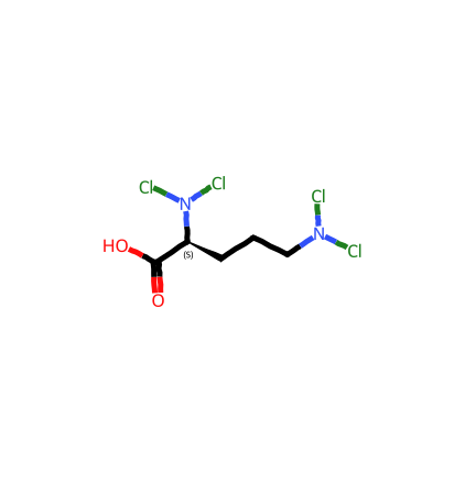 O=C(O)[C@H](CCCN(Cl)Cl)N(Cl)Cl